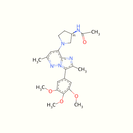 COc1cc(-c2c(C)nc3c(N4CC[C@@H](NC(C)=O)C4)cc(C)nn23)cc(OC)c1OC